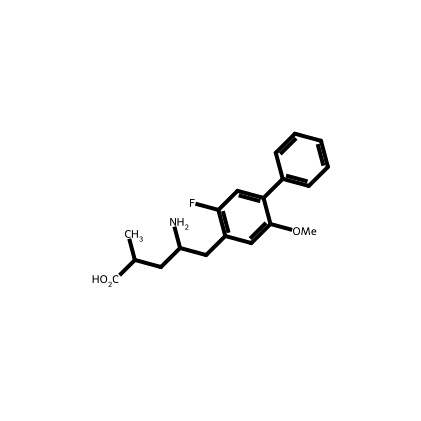 COc1cc(CC(N)CC(C)C(=O)O)c(F)cc1-c1ccccc1